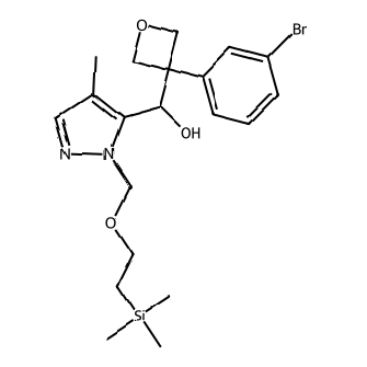 Cc1cnn(COCC[Si](C)(C)C)c1C(O)C1(c2cccc(Br)c2)COC1